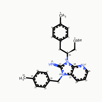 COC[C@H](Cc1ccc(C)cc1)n1c(=N)n(Cc2ccc(C)cc2)c2cccnc21